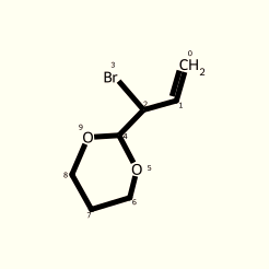 C=CC(Br)C1OCCCO1